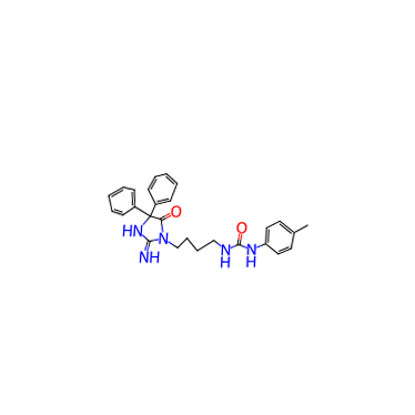 Cc1ccc(NC(=O)NCCCCN2C(=N)NC(c3ccccc3)(c3ccccc3)C2=O)cc1